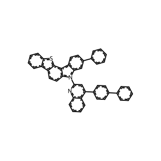 c1ccc(-c2ccc(-c3cc(-n4c5cc(-c6ccccc6)ccc5c5c6sc7ccccc7c6ccc54)nc4ccccc34)cc2)cc1